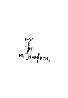 C.CC(=O)N1CCNCC1.F[B-](F)(F)F.F[B-](F)(F)F.F[B-](F)(F)F